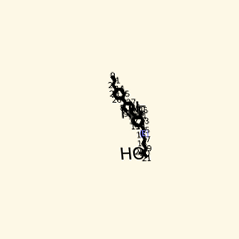 C=CCc1ccc(-c2cnc(-c3ccc(/C=C/CCCC(C)O)cc3F)nc2)cc1